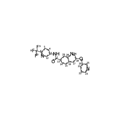 O=C(Nc1ccc(C(F)(F)F)nc1)c1ccc2cc(Oc3cccnc3)cnc2c1